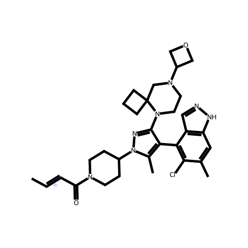 C/C=C/C(=O)N1CCC(n2nc(N3CCN(C4COC4)CC34CCC4)c(-c3c(Cl)c(C)cc4[nH]ncc34)c2C)CC1